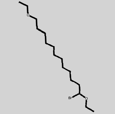 CCOCCCCCCCCCCCC(Br)OCC